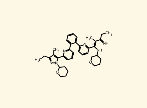 CCC(=N)/C(C)=C(\NC1CCCOC1)c1cccc(-c2ccccc2-c2cccc(-c3c(C)c(CC)nn3C3CCCCO3)n2)n1